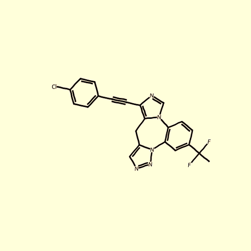 CC(F)(F)c1ccc2c(c1)-n1nncc1Cc1c(C#Cc3ccc(Cl)cc3)ncn1-2